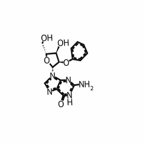 Nc1nc2c(ncn2[C@@H]2O[C@H](CO)[C@@H](O)[C@H]2Oc2ccccc2)c(=O)[nH]1